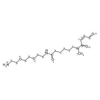 CN(CCCCCC(=O)NCCOCCOCCN)C(=O)/C=C\C=O